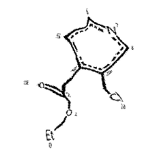 CCOC(=O)c1ccncc1Cl